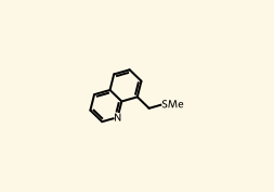 CSCc1cccc2cccnc12